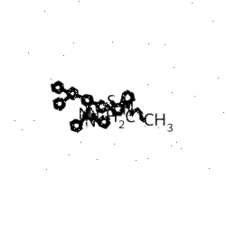 C=C(/C=C\C=C/C)n1c2ccccc2c2c3sc4cc(-c5ccc(-c6ccc(-c7ccccc7)c(-c7ccccc7)c6)cc5-c5nc(-c6ccccc6)nc(-c6ccccc6)n5)ccc4c3ccc21